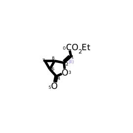 CCOC(=O)/C=C1/OC(=O)C2CC12